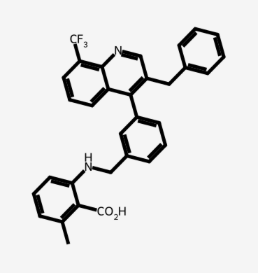 Cc1cccc(NCc2cccc(-c3c(Cc4ccccc4)cnc4c(C(F)(F)F)cccc34)c2)c1C(=O)O